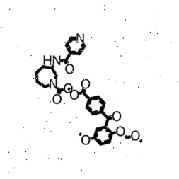 COCOc1ccc(OC)cc1C(=O)c1ccc(C(=O)OOC(=O)N2CCCCC(NC(=O)c3ccncc3)C2)cc1